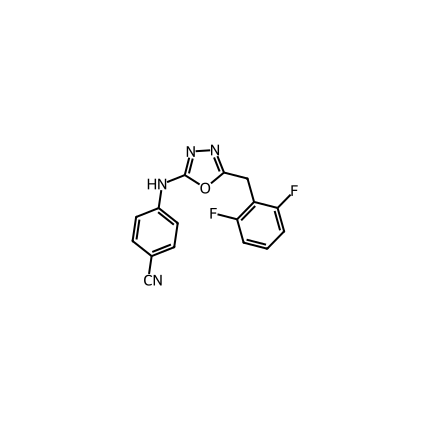 N#Cc1ccc(Nc2nnc(Cc3c(F)cccc3F)o2)cc1